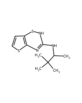 CC(NC1=Nc2sccc2SN1)C(C)(C)C